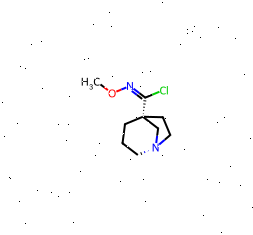 CO/N=C(/Cl)[C@]12CCC[N@@](CC1)C2